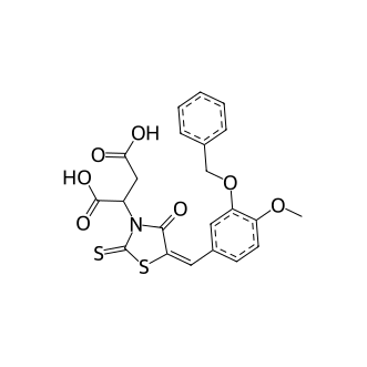 COc1ccc(C=C2SC(=S)N(C(CC(=O)O)C(=O)O)C2=O)cc1OCc1ccccc1